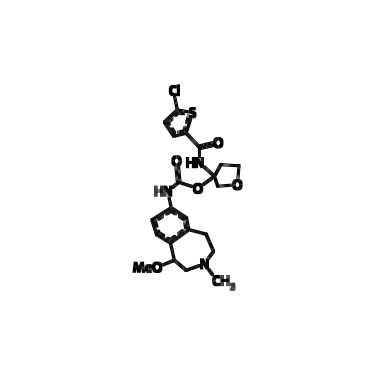 COC1CN(C)CCc2cc(NC(=O)OC3(NC(=O)c4ccc(Cl)s4)CCOC3)ccc21